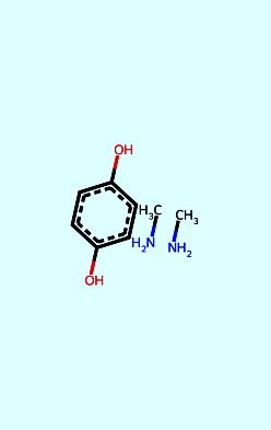 CN.CN.Oc1ccc(O)cc1